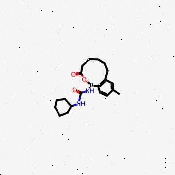 Cc1ccc2c(c1)CCCCCC(=O)OB2NC(=O)NC1CCCCC1